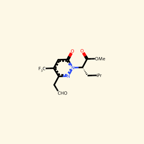 COC(=O)[C@H](CC(C)C)n1nc(CC=O)c(C(F)(F)F)cc1=O